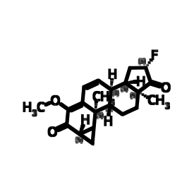 COC1=C2C=C[C@H]3[C@@H]4C[C@H](F)C(=O)[C@@]4(C)CC[C@@H]3[C@@]2(C)C2C[C@@H]2C1=O